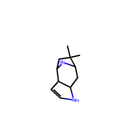 CC1(C)CC2NC1CC1NC=CC12